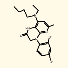 CCCCN(CC)c1cc(C)nc2c1NC(=O)CN2c1ccc(Br)cc1Br